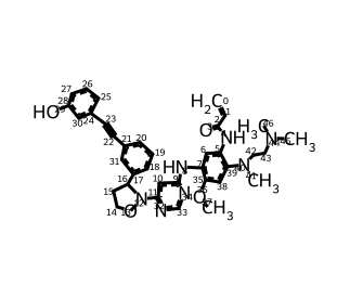 C=CC(=O)Nc1cc(Nc2cc(N3OCCC3c3cccc(C#Cc4cccc(O)c4)c3)ncn2)c(OC)cc1N(C)CCN(C)C